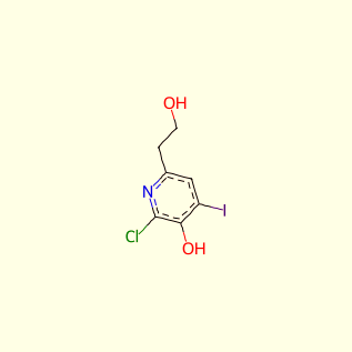 OCCc1cc(I)c(O)c(Cl)n1